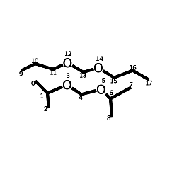 CC(C)OCOC(C)C.CCCOCOCCC